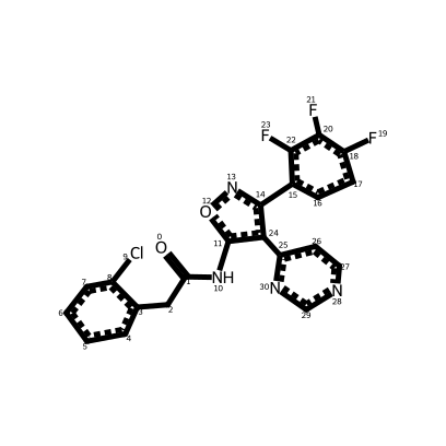 O=C(Cc1ccccc1Cl)Nc1onc(-c2ccc(F)c(F)c2F)c1-c1ccncn1